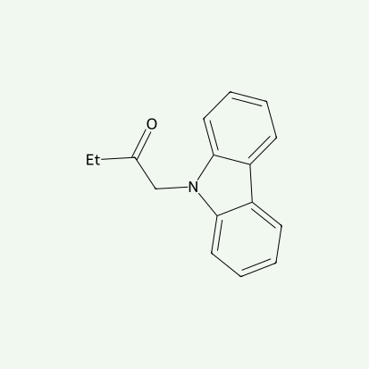 CCC(=O)Cn1c2ccccc2c2ccccc21